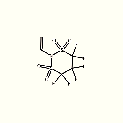 C=CN1S(=O)(=O)C(F)(F)C(F)(F)C(F)(F)S1(=O)=O